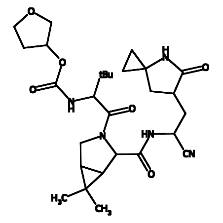 CC(C)(C)C(NC(=O)OC1CCOC1)C(=O)N1CC2C(C1C(=O)NC(C#N)CC1CC3(CC3)NC1=O)C2(C)C